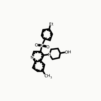 CCc1ccc(S(=O)(=O)c2cnc3ccc(C)cc3c2N2CCC(O)CC2)cc1